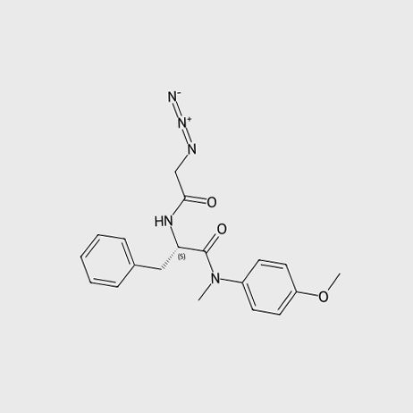 COc1ccc(N(C)C(=O)[C@H](Cc2ccccc2)NC(=O)CN=[N+]=[N-])cc1